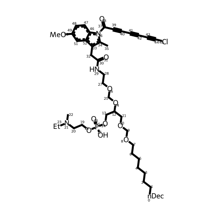 CCCCCCCCCCCCCCCCCOCOCC(COP(=O)(O)OCCN(C)CC)OCOCCNC(=O)Cc1c(C)n(C(=O)C#CC#CC#CCl)c2ccc(OC)cc12